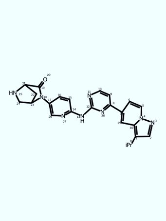 CC(C)c1cnn2ccc(-c3ccnc(Nc4ccc(N5C(=O)C6CC5CN6)cn4)n3)cc12